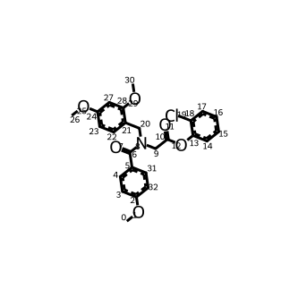 COc1ccc(C(=O)N(CC(=O)Oc2ccccc2Cl)Cc2ccc(OC)cc2OC)cc1